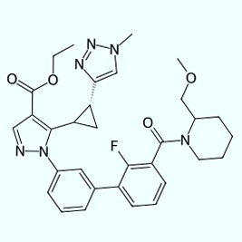 CCOC(=O)c1cnn(-c2cccc(-c3cccc(C(=O)N4CCCCC4COC)c3F)c2)c1C1C[C@H]1c1cn(C)nn1